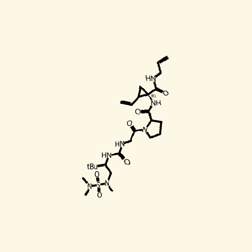 C=CCNC(=O)[C@@]1(NC(=O)C2CCCN2C(=O)CNC(=O)NC(CN(C)S(=O)(=O)N(C)C)C(C)(C)C)CC1C=C